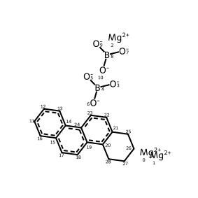 [Mg+2].[Mg+2].[Mg+2].[O-]B([O-])[O-].[O-]B([O-])[O-].c1ccc2c(c1)ccc1c3c(ccc12)CCCC3